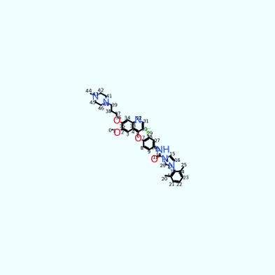 COc1cc2c(Oc3ccc(NC(=O)N4C=CN(c5c(C)cccc5C)C4)cc3F)ccnc2cc1OCCCN1CCN(C)CC1